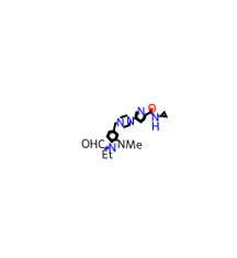 CC/C(C=O)=N/c1ccc(CN2CCN(c3ccc(C(=O)NC4CC4)nc3)CC2)cc1NC